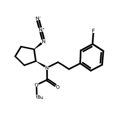 CC(C)(C)OC(=O)N(CCc1cccc(F)c1)[C@H]1CCC[C@H]1N=[N+]=[N-]